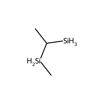 C[SiH2]C(C)[SiH3]